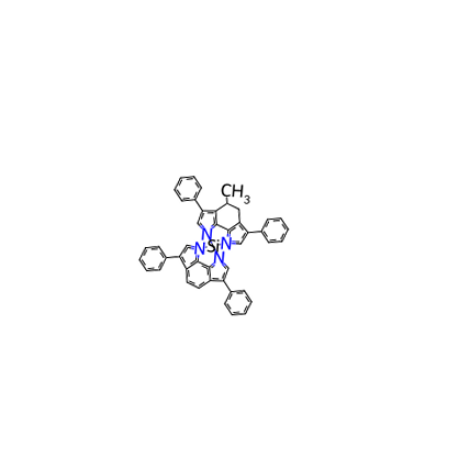 CC1Cc2c(-c3ccccc3)cn3c2-c2c1c(-c1ccccc1)cn2[Si]31n2cc(-c3ccccc3)c3ccc4c(-c5ccccc5)cn1c4c32